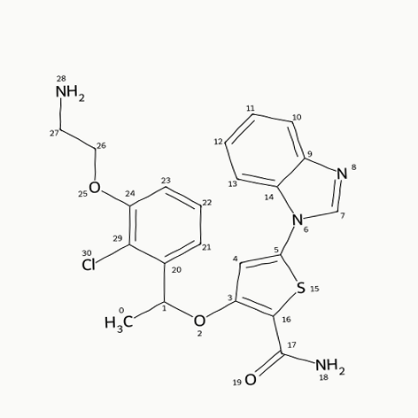 CC(Oc1cc(-n2cnc3ccccc32)sc1C(N)=O)c1cccc(OCCN)c1Cl